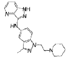 Cc1nn(CCN2CCCCC2)c2ccc(Nc3n[nH]c4cccnc34)cc12